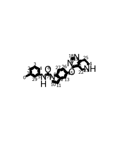 Cc1cccc(NC(=O)n2ccc3cc(Oc4ncnc5c4CNCC5)ccc32)c1